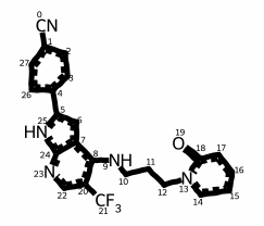 N#Cc1ccc(-c2cc3c(NCCCn4ccccc4=O)c(C(F)(F)F)cnc3[nH]2)cc1